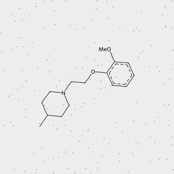 COc1ccc[c]c1OCCN1CCC(C)CC1